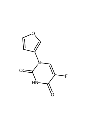 O=c1[nH]c(=O)n(-c2ccoc2)cc1F